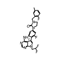 Cc1ccc(F)c(CN2CCN(c3ccc(-c4cn(CC(F)F)c5ncnc(N)c45)c(F)c3)C2=O)c1